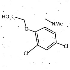 CNC.O=C(O)COc1ccc(Cl)cc1Cl